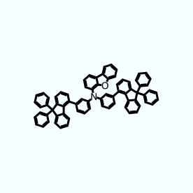 c1ccc(C2(c3ccccc3)c3ccccc3-c3c(-c4cccc(N(c5cccc(-c6cccc7c6-c6ccccc6C7(c6ccccc6)c6ccccc6)c5)c5cccc6c5oc5ccccc56)c4)cccc32)cc1